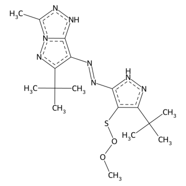 COOSc1c(C(C)(C)C)n[nH]c1N=Nc1c(C(C)(C)C)nn2c(C)n[nH]c12